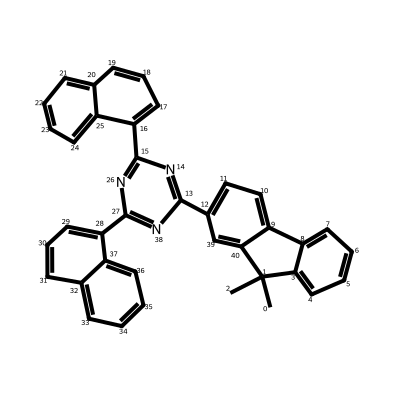 CC1(C)c2ccccc2-c2ccc(-c3nc(-c4cccc5ccccc45)nc(-c4cccc5ccccc45)n3)cc21